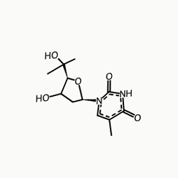 Cc1cn([C@H]2CC(O)[C@@H](C(C)(C)O)O2)c(=O)[nH]c1=O